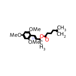 C=C(C)CCCC(=O)OC(C)/C=C/c1c(OC)cc(OC)cc1OC